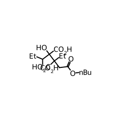 CCCCOC(=O)CC(CC)(C(=O)O)C(O)(C(=O)O)C(CC)C(=O)O